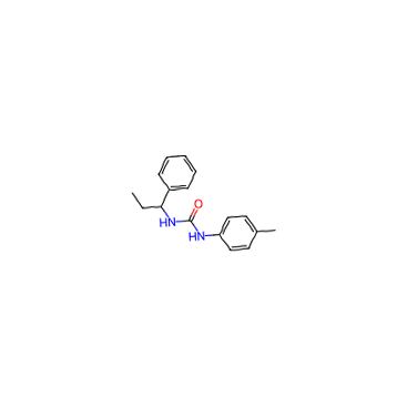 CCC(NC(=O)Nc1ccc(C)cc1)c1ccccc1